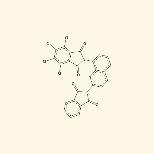 O=C1c2ccccc2C(=O)C1c1ccc2cccc(N3C(=O)c4c(Cl)c(Cl)c(Cl)c(Cl)c4C3=O)c2n1